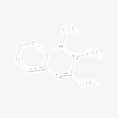 C=C1c2ccccc2N=C(C=O)N1C